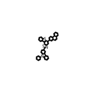 c1ccc(-n2c3ccccc3c3cc(-c4nc5cc(-c6ccc7c(ccc8ccccc87)c6)c6sc7ccccc7c6c5s4)ccc32)cc1